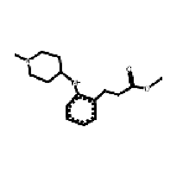 COC(=O)CCc1ccccc1NC1CCN(C)CC1